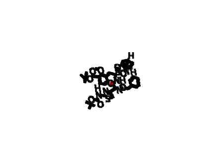 COc1c(CC(NC(=O)/C(=N\OCc2ccccc2)c2csc(NC(=O)OC(C)(C)C)n2)B2OC3C[C@H]4C[C@@H](C4(C)C)[C@]3(C)O2)cccc1C(=O)OC(C)(C)C